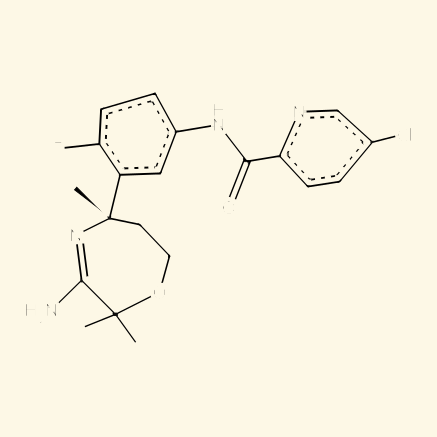 CC1(C)OCC[C@@](C)(c2cc(NC(=O)c3ccc(Cl)cn3)ccc2F)N=C1N